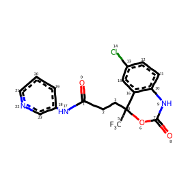 O=C(CCC1(C(F)(F)F)OC(=O)Nc2ccc(Cl)cc21)Nc1cccnc1